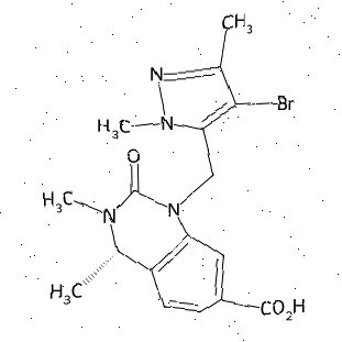 Cc1nn(C)c(CN2C(=O)N(C)[C@@H](C)c3ccc(C(=O)O)cc32)c1Br